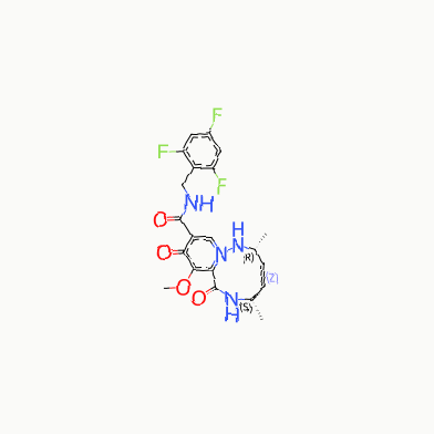 COc1c2n(cc(C(=O)NCc3c(F)cc(F)cc3F)c1=O)N[C@H](C)/C=C\[C@H](C)NC2=O